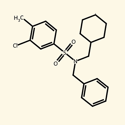 Cc1ccc(S(=O)(=O)N(Cc2ccccc2)CC2CC[CH]CC2)cc1Cl